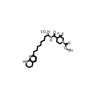 CC(C)(C)OC(=O)N1CCC(C(=O)N[C@@H](CCCCCCCc2ccc3c(n2)NCCC3)C(=O)O)C(F)(F)C1